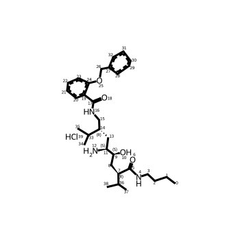 CCCCNC(=O)[C@H](C[C@H](O)[C@@H](N)C[C@@H](CNC(=O)c1ccccc1OCc1ccccc1)C(C)C)C(C)C.Cl